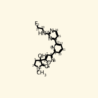 CN1CCC(O)(c2cc(-c3cccc(-c4ccnc(NCCF)n4)n3)no2)C1=O